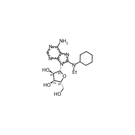 CCN(c1nc2c(N)ncnc2n1[C@@H]1O[C@H](CO)[C@@H](O)[C@H]1O)C1CCCCC1